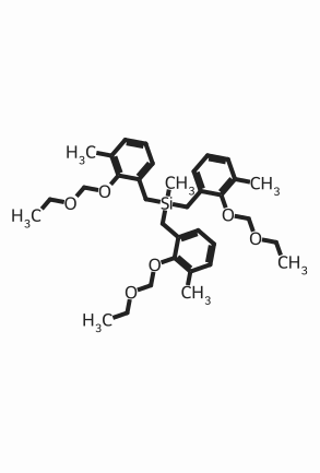 CCOCOc1c(C)cccc1C[Si](C)(Cc1cccc(C)c1OCOCC)Cc1cccc(C)c1OCOCC